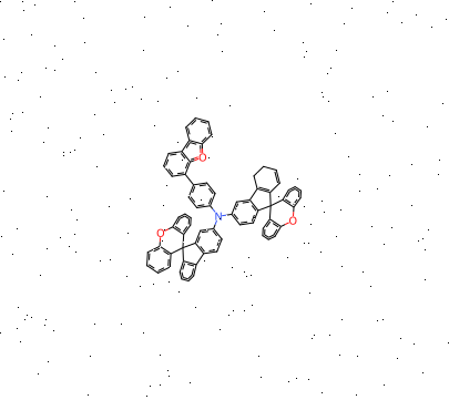 C1=CC2=C(CC1)c1cc(N(c3ccc(-c4cccc5c4oc4ccccc45)cc3)c3ccc4c(c3)C3(c5ccccc5Oc5ccccc53)c3ccccc3-4)ccc1C21c2ccccc2Oc2ccccc21